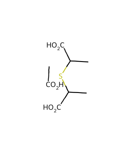 CC(=O)O.CC(SC(C)C(=O)O)C(=O)O